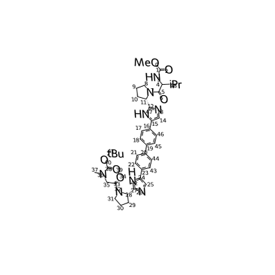 COC(=O)NC(C(=O)N1CCC[C@H]1c1ncc(-c2ccc(-c3ccc(-c4cnc([C@@H]5CCCN5C(=O)CN(C)C(=O)OC(C)(C)C)[nH]4)cc3)cc2)[nH]1)C(C)C